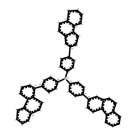 c1ccc2c(c1)ccc1cc(-c3ccc(N(c4ccc(-c5ccc6c(ccc7ccccc76)c5)cc4)c4ccc(-c5cccc6c5ccc5ccccc56)cc4)cc3)ccc12